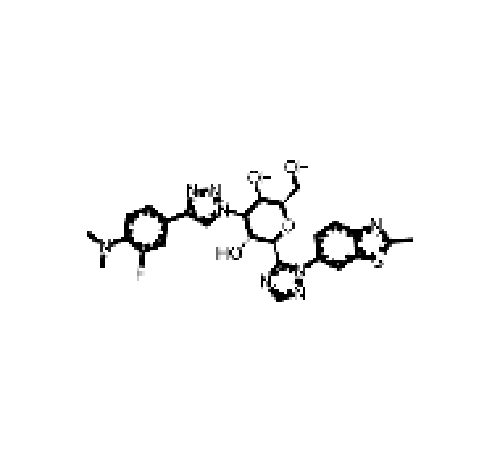 Cc1nc2ccc(-n3ncnc3[C@@H]3O[C@H](CO)[C@H](O)[C@H](n4cc(-c5ccc(N(C)C)c(F)c5)nn4)[C@H]3O)cc2s1